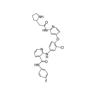 O=C(CC1CCCN1)Nc1cc(Oc2ccc(Nc3ncccc3C(=O)Nc3ccc(F)cc3)cc2Cl)ccn1